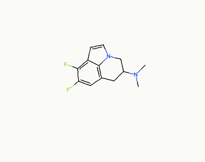 CN(C)C1Cc2cc(F)c(F)c3ccn(c23)C1